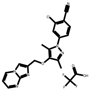 Cc1nn(-c2ccc(C#N)c(Cl)c2)c(C)c1OCc1cn2cccnc2n1.O=C(O)C(F)(F)F